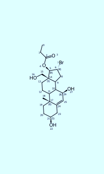 CCC(=O)O[C@H]1[C@H](Br)CC2C3C(CC[C@@]21CO)[C@@]1(C)CC[C@H](O)CC1=C[C@@H]3O